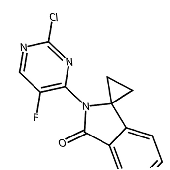 O=C1c2ccccc2C2(CC2)N1c1nc(Cl)ncc1F